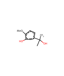 COc1ccc(C(C)(O)C(F)(F)F)cc1O